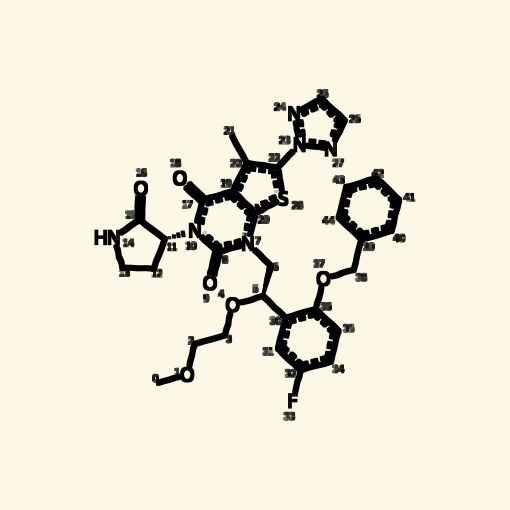 COCCO[C@@H](Cn1c(=O)n([C@@H]2CCNC2=O)c(=O)c2c(C)c(-n3nccn3)sc21)c1cc(F)ccc1OCc1ccccc1